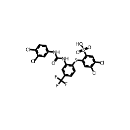 O=C(Nc1ccc(Cl)c(Cl)c1)Nc1cc(C(F)(F)F)ccc1Sc1cc(Cl)c(Cl)cc1S(=O)(=O)O